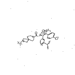 CN1CC2(CCN(C(=O)CN(CO)/C(=C(\N)c3ccc(Cl)cc3)c3ccnc(C(F)F)c3)CC2)C1